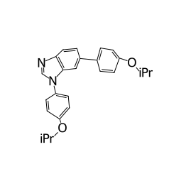 CC(C)Oc1ccc(-c2ccc3ncn(-c4ccc(OC(C)C)cc4)c3c2)cc1